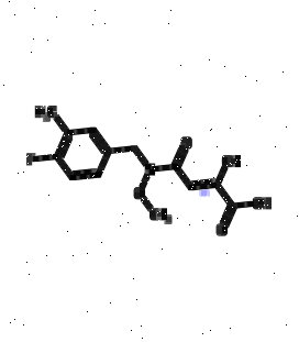 CON(Cc1ccc(F)c(C)c1)C(=O)/C=C(\O)C(=O)O